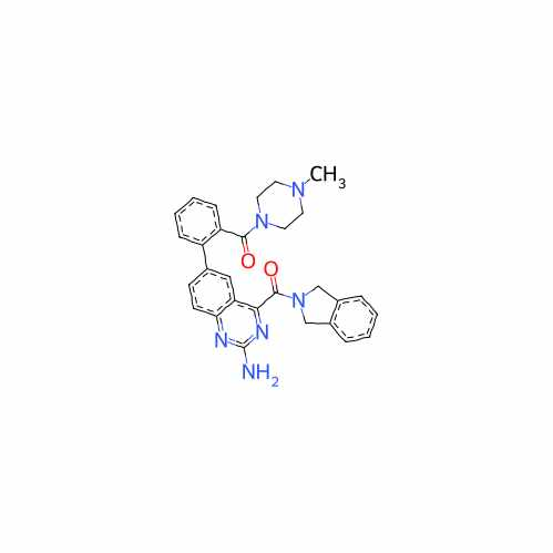 CN1CCN(C(=O)c2ccccc2-c2ccc3nc(N)nc(C(=O)N4Cc5ccccc5C4)c3c2)CC1